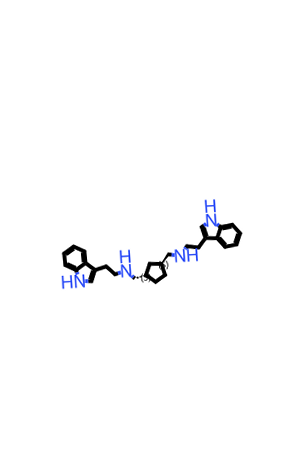 c1ccc2c(CCNC[C@H]3CC[C@H](CNCCc4c[nH]c5ccccc45)C3)c[nH]c2c1